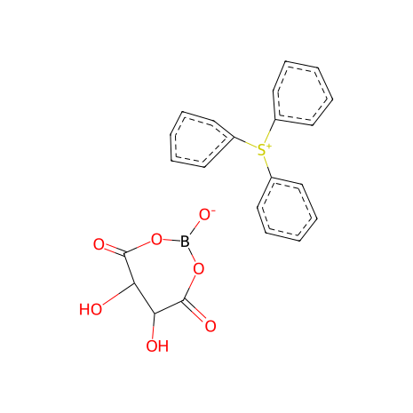 O=C1OB([O-])OC(=O)C(O)C1O.c1ccc([S+](c2ccccc2)c2ccccc2)cc1